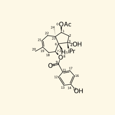 CC(=O)O[C@H]1C[C@@](O)(C(C)C)[C@@H]2[C@@H](OC(=O)c3ccc(O)cc3)CC(C)=CC[C@@]12C